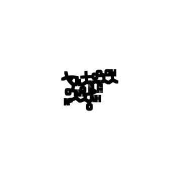 CC(C)CC(NC(=O)NC(C(=O)N1CC2C(C1C(=O)NC(C#N)CC1CC3(CC3)NC1=O)C2(C)C)C(C)(C)C)C(=O)O